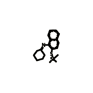 C[Si](C)(C)Sc1ccc2ccccc2c1N=C1CCCCC1